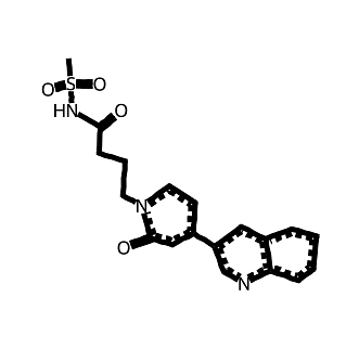 CS(=O)(=O)NC(=O)CCCn1ccc(-c2cnc3ccccc3c2)cc1=O